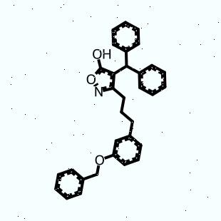 Oc1onc(CCCc2cccc(OCc3ccccc3)c2)c1C(c1ccccc1)c1ccccc1